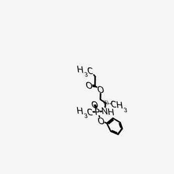 CCC(=O)OC[C@H](C)NP(C)(=O)Oc1ccccc1